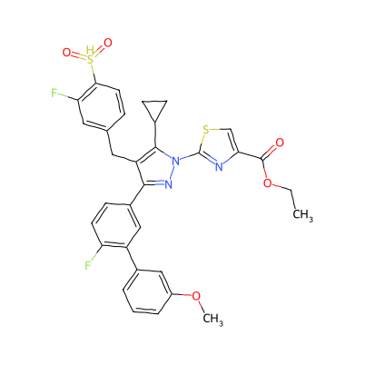 CCOC(=O)c1csc(-n2nc(-c3ccc(F)c(-c4cccc(OC)c4)c3)c(Cc3ccc([SH](=O)=O)c(F)c3)c2C2CC2)n1